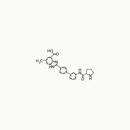 Cc1cc(C(=O)O)c2nc(-c3ccc(-c4cccc(NC(=O)C5CCCN5)c4)cc3)[nH]c2c1